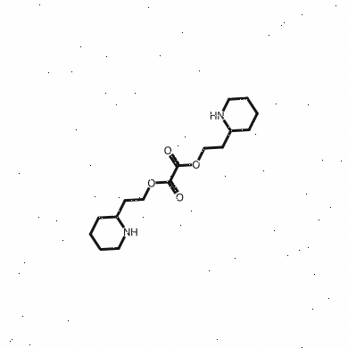 O=C(OCCC1CCCCN1)C(=O)OCCC1CCCCN1